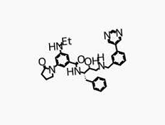 CCNc1cc(C(=O)N[C@@H](Cc2ccccc2)[C@@H](O)CNCc2cccc(-c3cncnc3)c2)cc(N2CCCC2=O)c1